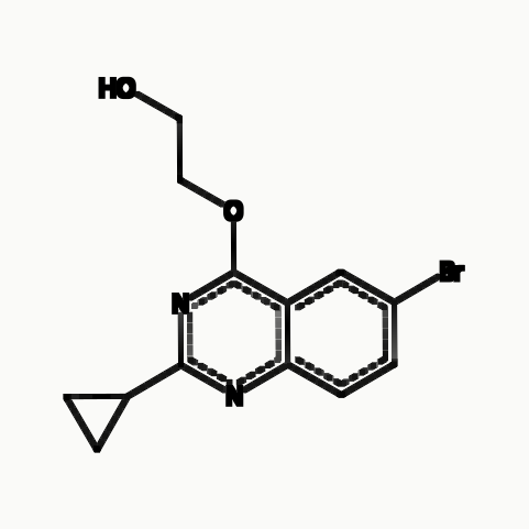 OCCOc1nc(C2CC2)nc2ccc(Br)cc12